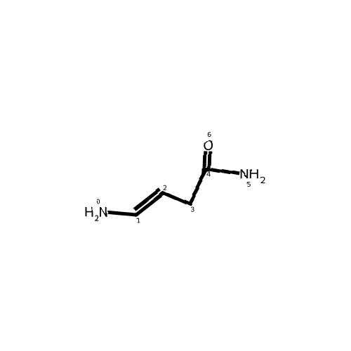 NC=CCC(N)=O